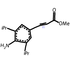 COC(=O)/C=C/c1cc(C(C)C)c(N)c(C(C)C)c1